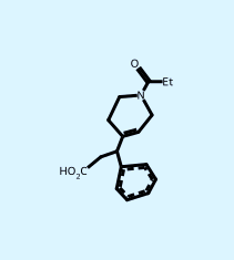 CCC(=O)N1CC=C(C(CC(=O)O)c2ccccc2)CC1